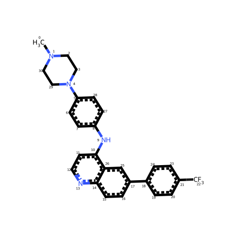 CN1CCN(c2ccc(Nc3ccnc4ccc(-c5ccc(C(F)(F)F)cc5)cc34)cc2)CC1